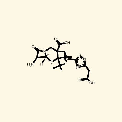 CC(C)(C)C1(C(C)(C)C)S[C@@H]2C(N)C(=O)N2CC1(CSc1nnc(CC(=O)O)o1)C(=O)O